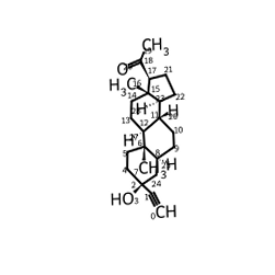 C#C[C@]1(O)CC[C@@]2(C)[C@@H](CC[C@@H]3[C@@H]2CC[C@]2(C)[C@@H](C(C)=O)CC[C@@H]32)C1